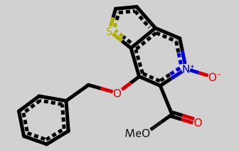 COC(=O)c1c(OCc2ccccc2)c2sccc2c[n+]1[O-]